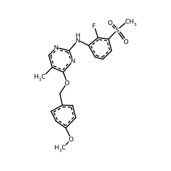 COc1ccc(COc2nc(Nc3cccc(S(C)(=O)=O)c3F)ncc2C)cc1